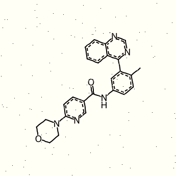 Cc1ccc(NC(=O)c2ccc(N3CCOCC3)nc2)cc1-c1ncnc2ccccc12